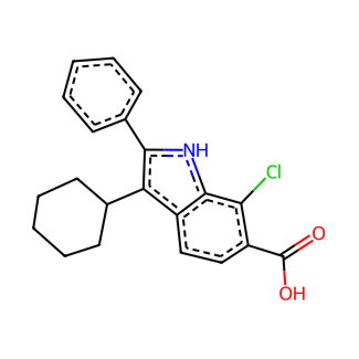 O=C(O)c1ccc2c(C3CCCCC3)c(-c3ccccc3)[nH]c2c1Cl